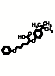 CC(C)(C)c1ccc(OC(CCCCOc2ccccc2)C(=O)O)cc1